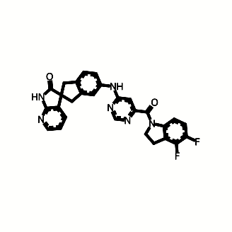 O=C(c1cc(Nc2ccc3c(c2)CC2(C3)C(=O)Nc3ncccc32)ncn1)N1CCc2c1ccc(F)c2F